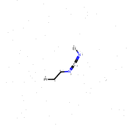 CCN=C=NCCC(C)C